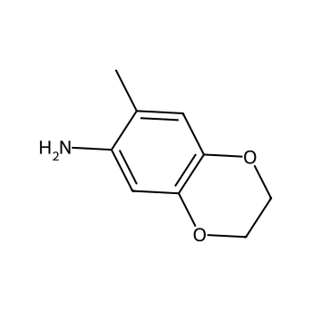 Cc1cc2c(cc1N)OCCO2